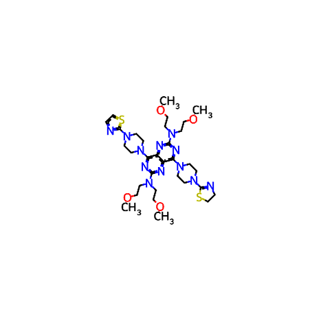 COCCN(CCOC)c1nc(N2CCN(c3nccs3)CC2)c2nc(N(CCOC)CCOC)nc(N3CCN(C4=NCCS4)CC3)c2n1